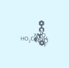 O=C(O)c1cnn2c(Nc3cccc(F)c3Cl)c(C(=O)N3CCC(c4ccccc4)CC3)cnc12